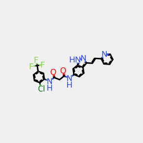 O=C(CC(=O)Nc1cc(C(F)(F)F)ccc1Cl)Nc1ccc2c(/C=C/c3ccccn3)n[nH]c2c1